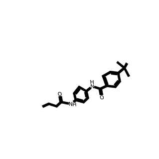 CCCC(=O)Nc1ccc(NC(=O)c2ccc(C(C)(C)C)cc2)cc1